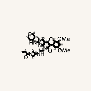 C=CC(=O)N1CC(NCCn2c(=O)c(-c3cc(OC)cc(OC)c3Cl)cc3cnc(NC4CCOCC4)nc32)C1